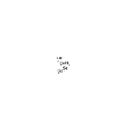 [GaH3].[Gd].[Lu].[Sc]